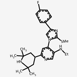 CCNc1cnc(C2CC(C)(C)NC(C)(C)C2)cc1-n1cc(-c2ccc(F)cc2)nc1SC